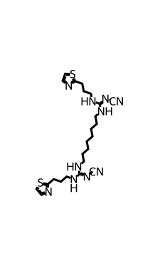 N#C/N=C(\NCCCCCCCCN/C(=N\C#N)NCCCc1nccs1)NCCCc1nccs1